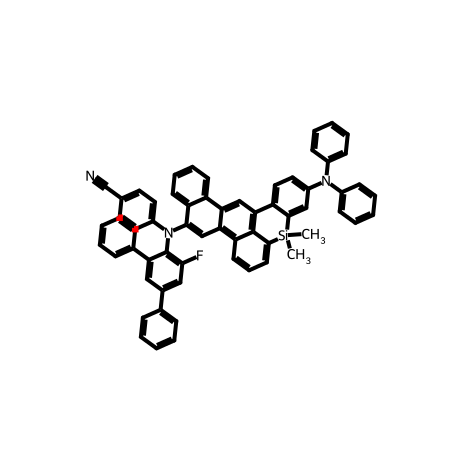 C[Si]1(C)c2cc(N(c3ccccc3)c3ccccc3)ccc2-c2cc3c4ccccc4c(N(c4ccc(C#N)cc4)c4c(F)cc(-c5ccccc5)cc4-c4ccccc4)cc3c3cccc1c23